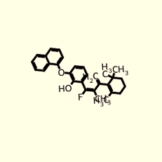 C=C(C(C)=C(F)c1cccc(Oc2cccc3ccccc23)c1O)C1=C(C)CCCC1(C)C